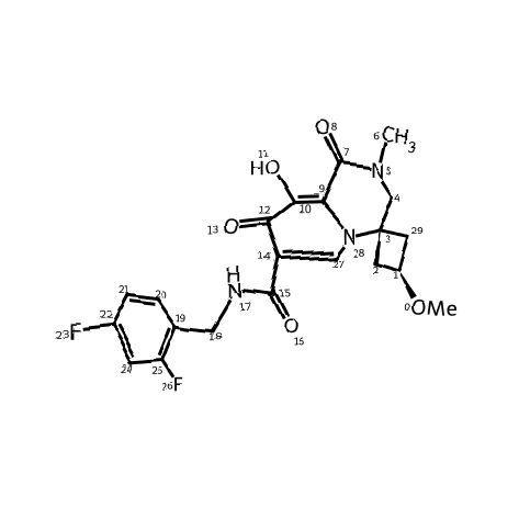 CO[C@H]1C[C@@]2(CN(C)C(=O)c3c(O)c(=O)c(C(=O)NCc4ccc(F)cc4F)cn32)C1